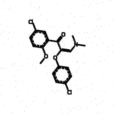 COc1ccc(Cl)cc1C(=O)C(=CN(C)C)Oc1ccc(Cl)cc1